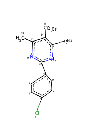 CCCCc1nc(-c2ccc(Cl)cc2)nc(C)c1C(=O)OCC